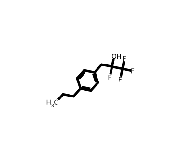 CCCc1ccc(CC(O)(F)C(F)(F)F)cc1